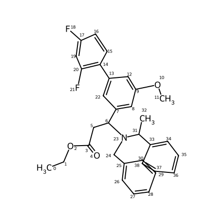 CCOC(=O)CC(c1cc(OC)cc(-c2ccc(F)cc2F)c1)N(Cc1ccccc1)C(C)c1ccccc1